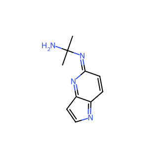 CC(C)(N)/N=C1/C=CC2=NC=CC2=N1